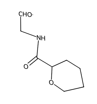 O=[C]CNC(=O)C1CCCCO1